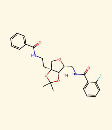 CC1(C)O[C@@H]2[C@@H](CNC(=O)c3ccccc3F)OC[C@]2(CCNC(=O)c2ccccc2)O1